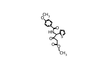 CCOC(=O)CC(=O)C(NC(=O)c1ccc(OC)cc1)c1cccs1